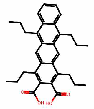 CCCc1c(C(=O)O)c(C(=O)O)c(CCC)c2cc3c(CCC)c4ccccc4c(CCC)c3cc12